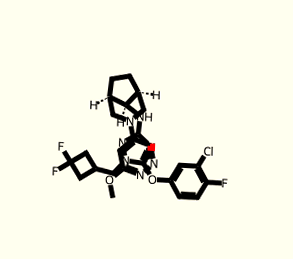 COc1cc(N2C[C@H]3CC[C@@H](C2)[C@H]3Nc2nc(Oc3ccc(F)c(Cl)c3)n(CC3CC(F)(F)C3)n2)cnn1